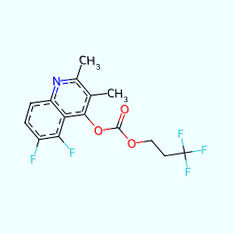 Cc1nc2ccc(F)c(F)c2c(OC(=O)OCCC(F)(F)F)c1C